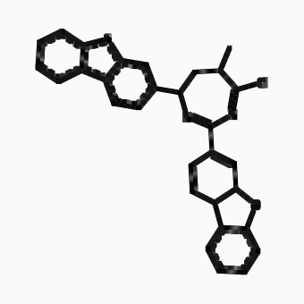 CC1CC(c2ccc3c(c2)sc2ccccc23)N=C(C2=CC3Oc4ccccc4C3C=C2)N=C1Cl